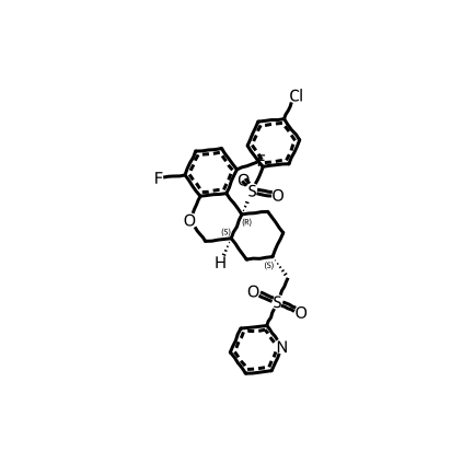 O=S(=O)(C[C@H]1CC[C@]2(S(=O)(=O)c3ccc(Cl)cc3)c3c(F)ccc(F)c3OC[C@@H]2C1)c1ccccn1